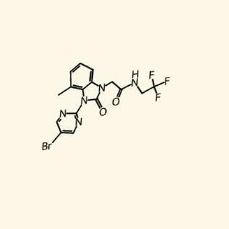 Cc1cccc2c1n(-c1ncc(Br)cn1)c(=O)n2CC(=O)NCC(F)(F)F